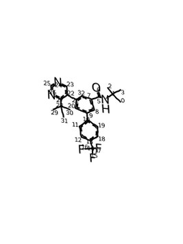 CC(C)(C)NC(=O)c1cc(-c2ccc(C(F)(F)F)cc2)cc(-c2cncnc2C(C)(C)C)c1